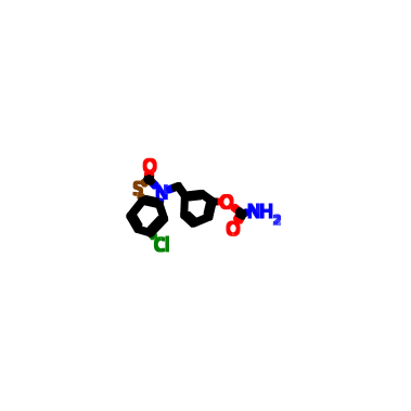 NC(=O)Oc1cccc(Cn2c(=O)sc3ccc(Cl)cc32)c1